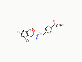 COC(=O)c1ccc(CSNC(=O)Cc2c(C(C)C)cc(F)cc2C(C)C)cc1